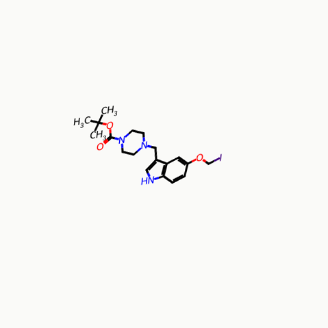 CC(C)(C)OC(=O)N1CCN(Cc2c[nH]c3ccc(OCI)cc23)CC1